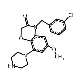 COc1cc(N2CCNCC2)c2c(c1)N(Cc1cccc(Cl)c1)C(=O)CO2